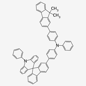 CC1(C)c2ccccc2-c2ccc(-c3ccc(N(c4ccccc4)c4ccc(-c5ccc6c(c5)C5(c7ccccc7-6)c6ccccc6N(c6ccccc6)c6ccccc65)cc4)cc3)cc21